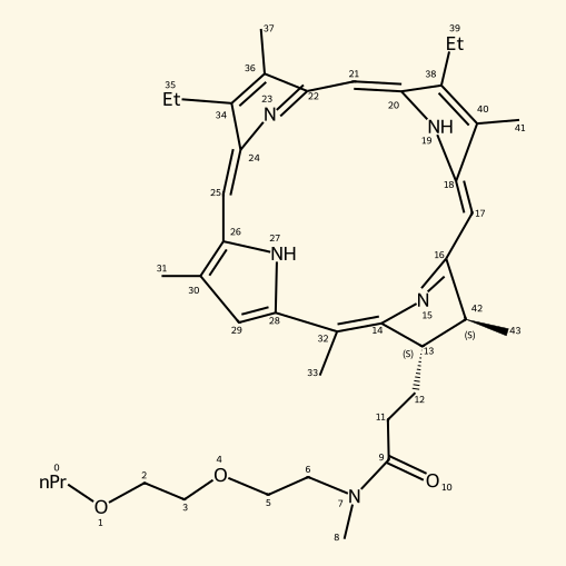 CCCOCCOCCN(C)C(=O)CC[C@@H]1c2nc(cc3[nH]c(cc4nc(cc5[nH]c(cc5C)c2C)C(CC)=C4C)c(CC)c3C)[C@H]1C